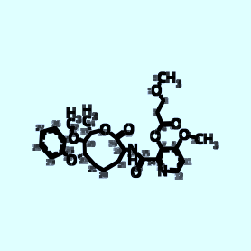 COCCC(=O)Oc1c(OC)ccnc1C(=O)N[C@H]1CCC[C@H](Oc2ccccc2)[C@@H](OC)[C@H](C)OC1=O